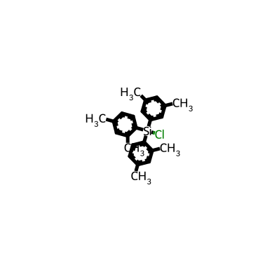 Cc1cc(C)cc([Si](Cl)(c2ccc(C)cc2C)c2ccc(C)cc2C)c1